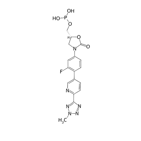 Cn1nnc(-c2ccc(-c3ccc(N4C[C@H](COP(O)O)OC4=O)cc3F)cn2)n1